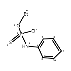 CCOP(=S)(Cl)Nc1ccccc1